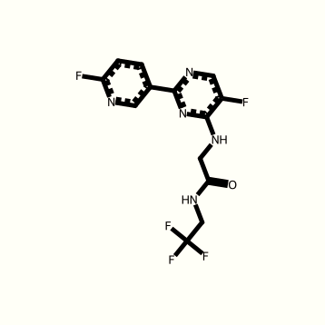 O=C(CNc1nc(-c2ccc(F)nc2)ncc1F)NCC(F)(F)F